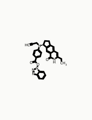 C#CCN(c1ccc(C(=O)On2nnc3ccccc32)cc1)[C@H]1CCc2cc3cc(CC)[nH]c(=O)c3cc21